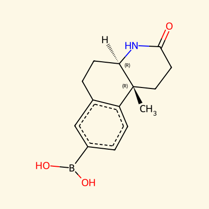 C[C@]12CCC(=O)N[C@@H]1CCc1cc(B(O)O)ccc12